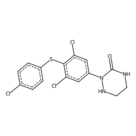 O=C1NCCNN1c1cc(Cl)c(Sc2ccc(Cl)cc2)c(Cl)c1